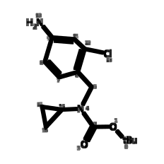 CC(C)(C)OC(=O)N(Cc1ccc(N)cc1Cl)C1CC1